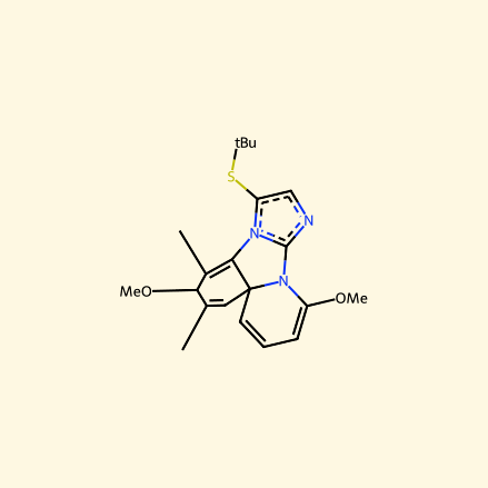 COC1=CC=CC23C=C(C)C(OC)C(C)=C2n2c(SC(C)(C)C)cnc2N13